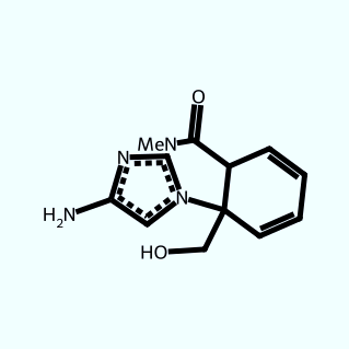 CNC(=O)C1C=CC=CC1(CO)n1cnc(N)c1